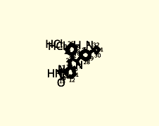 Cl.Cl.NC1(c2ccc(C3N=c4ccn5c(=O)[nH]nc5c4=CC3c3ccccc3)cc2)CCC1